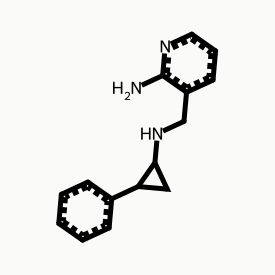 Nc1ncccc1CNC1CC1c1ccccc1